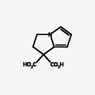 O=C(O)C1(C(=O)O)CCn2cccc21